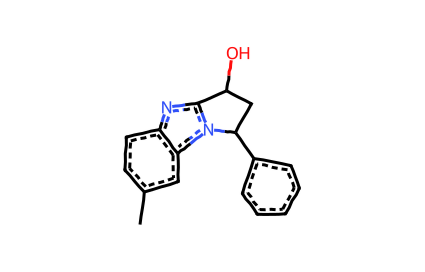 Cc1ccc2nc3n(c2c1)C(c1ccccc1)CC3O